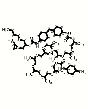 CCCCOCC(CN1CC1C)OC(=O)NC1CCC(CC2CCC(NC(=O)OC(C)COC(C)COC(C)COC(C)COC(C)COC(C)COC(C)COC(C)COC(C)COC(=O)NC3CCC(C)CC3)CC2)CC1